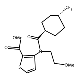 COCCN(c1ccsc1C(=O)OC)C(=O)[C@H]1CC[C@H](C(F)(F)F)CC1